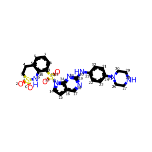 O=S1(=O)CCc2cccc(S(=O)(=O)n3ccc4cnc(Nc5ccc(N6CCNCC6)cc5)nc43)c2N1